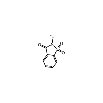 [2H]N1C(=O)c2ccccc2S1(=O)=O